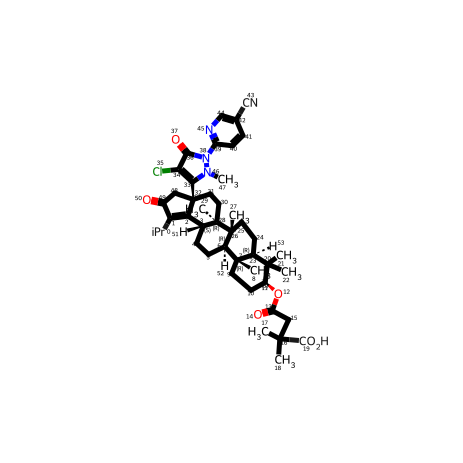 CC(C)C1=C2[C@H]3CC[C@@H]4[C@@]5(C)CC[C@H](OC(=O)CC(C)(C)C(=O)O)C(C)(C)[C@@H]5CC[C@@]4(C)[C@]3(C)CC[C@@]2(c2c(Cl)c(=O)n(-c3ccc(C#N)cn3)n2C)CC1=O